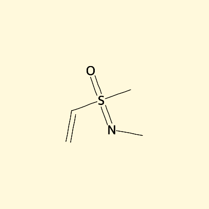 C=CS(C)(=O)=NC